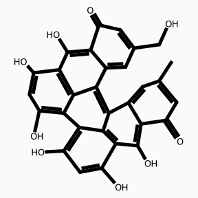 Cc1cc(=O)c2c(O)c3c(O)cc(O)c4c5c(O)cc(O)c6c(O)c7c(=O)cc(CO)cc7c(c65)c(c2c1)c34